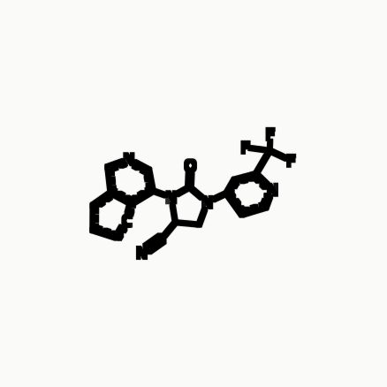 N#CC1CN(c2ccnc(C(F)(F)F)c2)C(=O)N1c1cncc2ccccc12